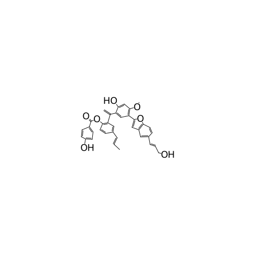 C=C(c1cc(-c2cc3cc(/C=C/CO)ccc3o2)c(OC)cc1O)c1cc(/C=C/C)ccc1OC(=O)c1ccc(O)cc1